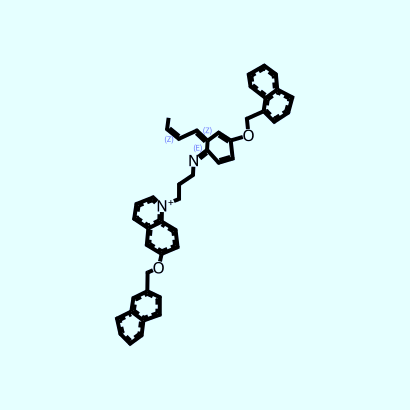 C\C=C/C=C1/C=C(OCc2cccc3ccccc23)C=C/C1=N\CCC[n+]1cccc2cc(OCc3ccc4ccccc4c3)ccc21